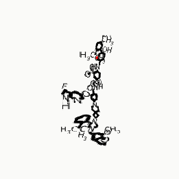 COc1cc(CN2CCN(C3CC4(CCN(c5ccc(C(=O)NS(=O)(=O)c6ccc(NCC7CCC(O)(C8C[C@H](C)CC[C@@H]8C(C)C)CC7)c([N+](=O)[O-])c6)c(Oc6cnc7[nH]cc(F)c7c6)c5)CC4)C3)[C@H](c3ccccc3C(C)C)C2)cc2c1OCC2